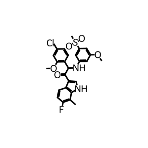 COc1cc(NC(C(=O)c2c[nH]c3c(C)c(F)ccc23)c2ccc(Cl)cc2OC)cc(S(C)(=O)=O)c1